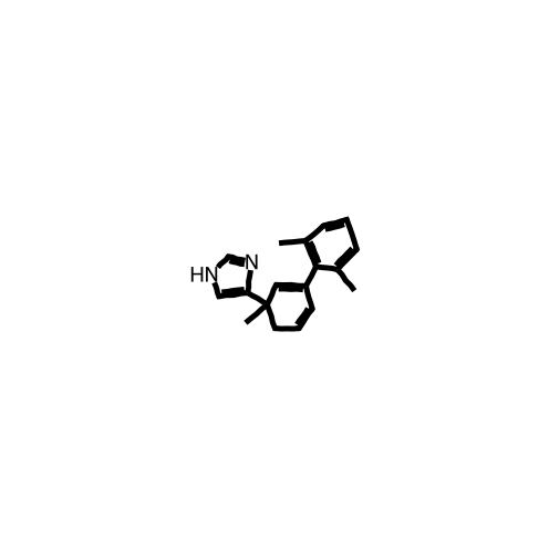 Cc1cccc(C)c1C1=CC(C)(c2c[nH]cn2)CC=C1